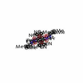 CCN(C(=O)C(CC(C)C)N1C(=O)c2cc(Oc3cccc(C#N)c3)c3c4c(Oc5cccc(C#N)c5)cc5c6c(cc(Oc7cccc(C#N)c7)c(c7c(Oc8cccc(C#N)c8)cc(c2c37)C1=O)c64)C(=O)N(C(CC(C)C)C(=O)N(CC)C1CCCC(C[Si](OC)(OC)OC)C1)C5=O)C1CCCC(C[Si](OC)(OC)OC)C1